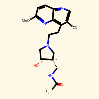 COc1ccc2ncc(C#N)c(CCN3C[C@H](CNC(=O)C(F)(F)F)[C@H](O)C3)c2n1